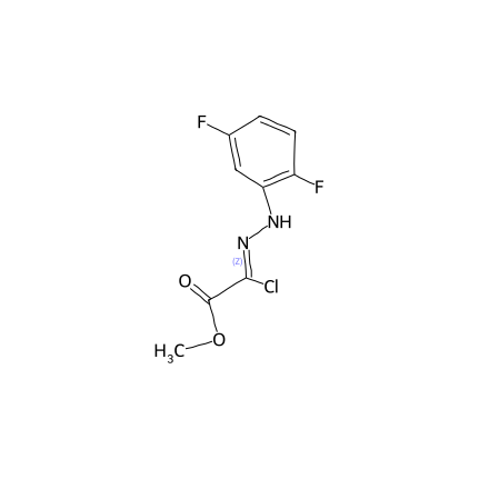 COC(=O)/C(Cl)=N/Nc1cc(F)ccc1F